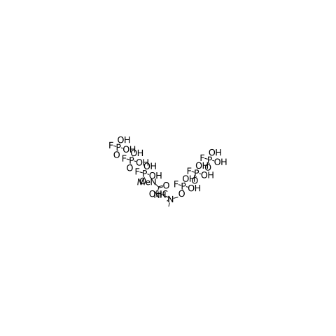 CN(C)C=O.CNC(N)=O.O=P(O)(O)F.O=P(O)(O)F.O=P(O)(O)F.O=P(O)(O)F.O=P(O)(O)F.O=P(O)(O)F